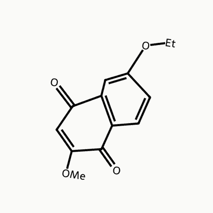 CCOc1ccc2c(c1)C(=O)C=C(OC)C2=O